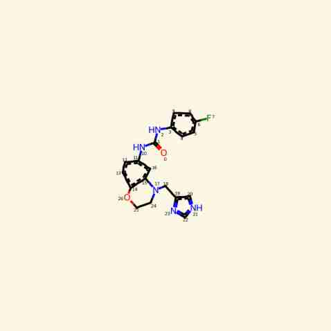 O=C(Nc1ccc(F)cc1)Nc1ccc2c(c1)N(Cc1c[nH]cn1)CCO2